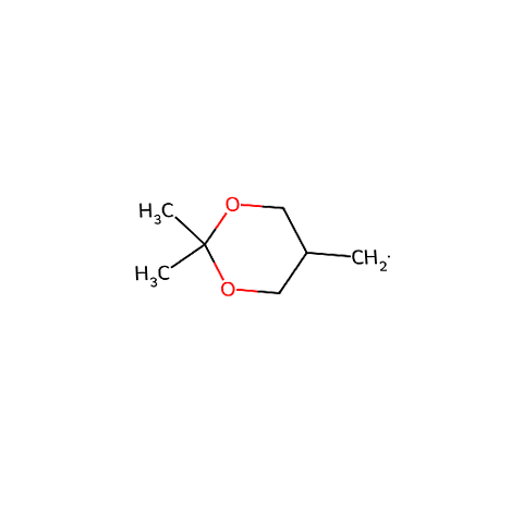 [CH2]C1COC(C)(C)OC1